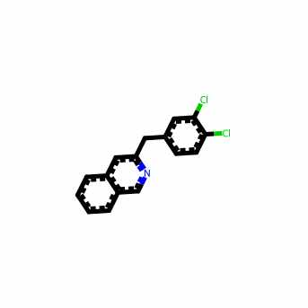 Clc1ccc(Cc2cc3ccccc3cn2)cc1Cl